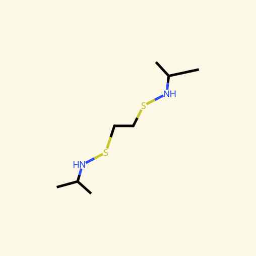 CC(C)NSCCSNC(C)C